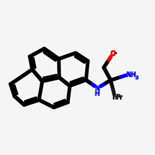 CCCC(N)(C[O])Nc1ccc2ccc3cccc4ccc1c2c34